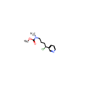 CN(CCC[C@H](Cl)c1cccnc1)C(=O)OC(C)(C)C